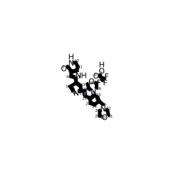 O=C(O)C(F)(F)F.O=C1NCCc2[nH]c(-c3ccnc(/C=C/c4ccc(CN5CCOCC5)cc4N4CCOCC4)c3)cc21